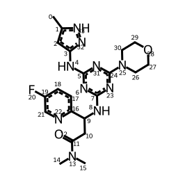 Cc1cc(Nc2nc(NC(CC(=O)N(C)C)c3ccc(F)cn3)nc(N3CCOCC3)n2)n[nH]1